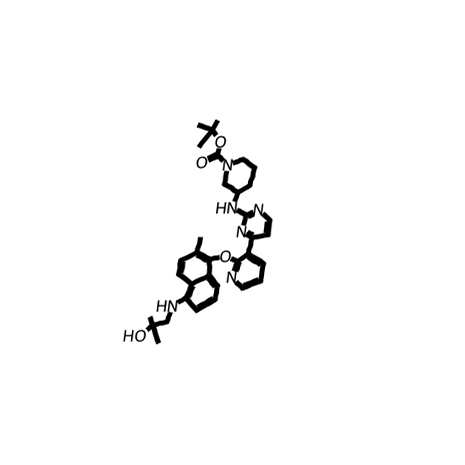 Cc1ccc2c(NCC(C)(C)O)cccc2c1Oc1ncccc1-c1ccnc(NC2CCCN(C(=O)OC(C)(C)C)C2)n1